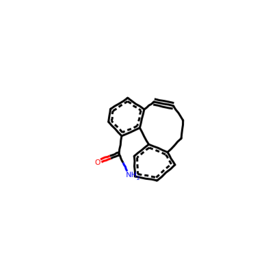 NC(=O)c1cccc2c1-c1ccccc1CCC#C2